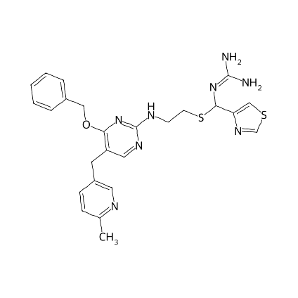 Cc1ccc(Cc2cnc(NCCSC(N=C(N)N)c3cscn3)nc2OCc2ccccc2)cn1